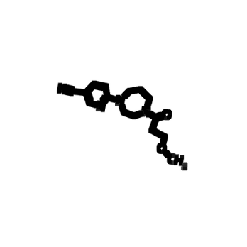 COCCC(=O)N1CCCN(c2ccc(C#N)cn2)CC1